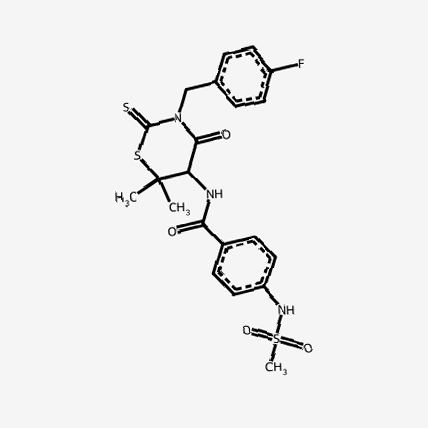 CC1(C)SC(=S)N(Cc2ccc(F)cc2)C(=O)C1NC(=O)c1ccc(NS(C)(=O)=O)cc1